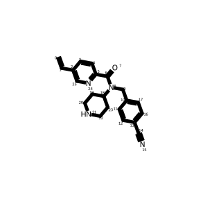 C=Cc1ccc(C(=O)N(Cc2ccc(C#N)cc2)C2CCNCC2)nc1